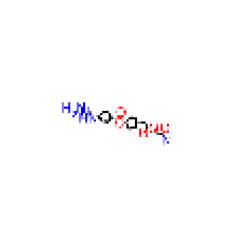 CN(C)C(=O)COC(=O)Cc1ccc(OC(=O)c2ccc(NC=NN)cc2)cc1